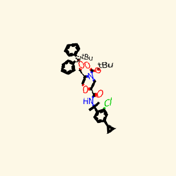 CC(C)(C)OC(=O)N1C[C@@H](C(=O)NC(C)(C)c2ccc(C3CC3)cc2Cl)OC[C@H]1CO[Si](c1ccccc1)(c1ccccc1)C(C)(C)C